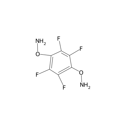 NOc1c(F)c(F)c(ON)c(F)c1F